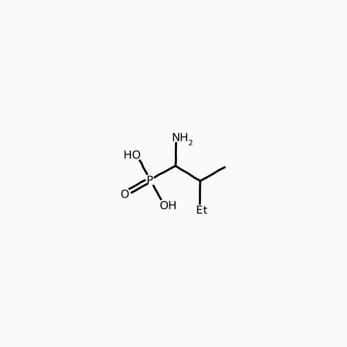 CCC(C)C(N)P(=O)(O)O